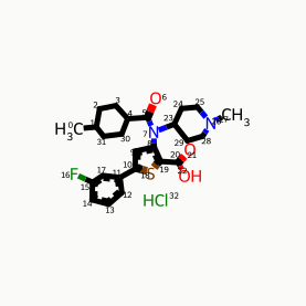 CC1CCC(C(=O)N(c2cc(-c3cccc(F)c3)sc2C(=O)O)C2CCN(C)CC2)CC1.Cl